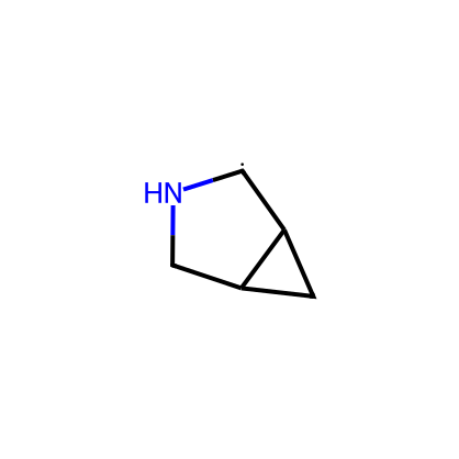 [CH]1NCC2CC12